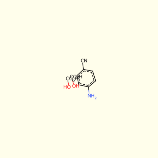 N#Cc1ccc(N)cc1.O=C(O)O.O=C(O)O